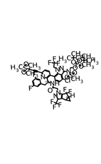 CC(C)(C)OP(=O)(OCN(c1nn(CC(F)(F)F)c2c(-c3ccc(C#CC(C)(C)S(C)(=O)=O)nc3[C@H](Cc3cc(F)cc(F)c3)NC(=O)Cn3nc(C(F)(F)F)c4c3C(F)(F)[C@@H]3CC43)ccc(Cl)c12)S(C)(=O)=O)OC(C)(C)C